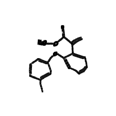 C=C(C(=O)OOC)c1ccccc1Oc1cccc(C)c1